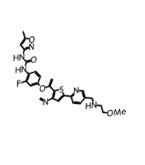 C=Nc1cc(-c2ccc(CNCCOC)cn2)sc1C(=C)Oc1ccc(NC(=O)Nc2cc(C)on2)c(F)c1